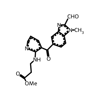 COC(=O)CCNc1ncccc1C(=O)c1ccc2c(c1)nc(C=O)n2C